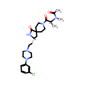 CC(=O)N(C)[C@@H](C)C(=O)N1CCC2(CC1)C[C@H](CCN1CCN(c3cccc(Cl)c3)CC1)NC2=O